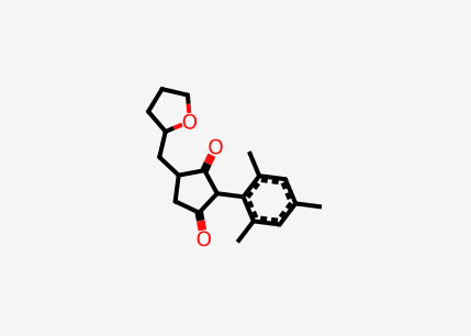 Cc1cc(C)c(C2C(=O)CC(CC3CCCO3)C2=O)c(C)c1